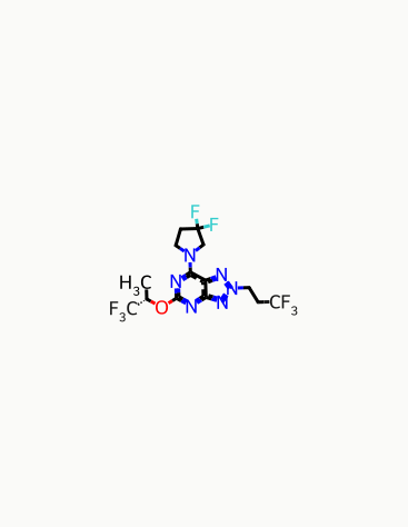 C[C@H](Oc1nc(N2CCC(F)(F)C2)c2nn(CCC(F)(F)F)nc2n1)C(F)(F)F